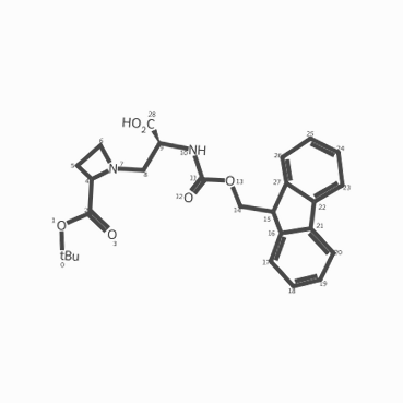 CC(C)(C)OC(=O)C1CCN1C[C@H](NC(=O)OCC1c2ccccc2-c2ccccc21)C(=O)O